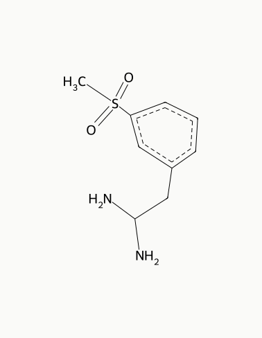 CS(=O)(=O)c1cccc(CC(N)N)c1